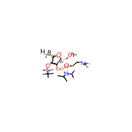 [2H]OC[C@H]1O[C@@H](B)[C@@H](O[Si](C)(C)C(C)(C)C)C1OP(OCC[N+]#[C-])N(C(C)C)C(C)C